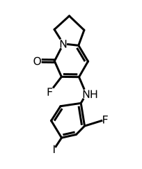 O=c1c(F)c(Nc2ccc(I)cc2F)cc2n1CCC2